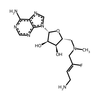 CN(CC(F)=CCN)C[C@H]1O[C@@H](n2cnc3c(N)ncnc32)[C@H](O)[C@@H]1O